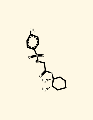 Cc1ccc(S(=O)(=O)NCC(=O)O[C@@]2(N)CCCC[C@@H]2N)cc1